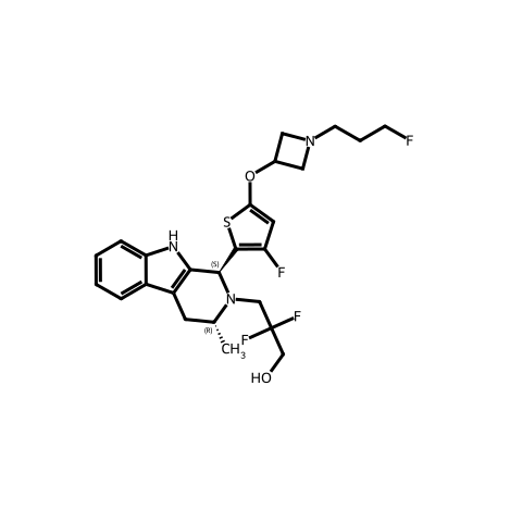 C[C@@H]1Cc2c([nH]c3ccccc23)[C@@H](c2sc(OC3CN(CCCF)C3)cc2F)N1CC(F)(F)CO